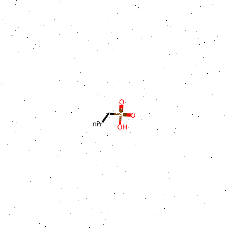 CCC[CH]S(=O)(=O)O